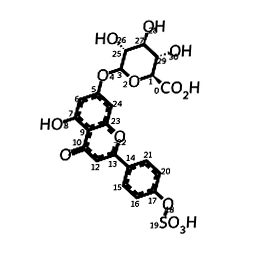 O=C(O)[C@H]1OC(Oc2cc(O)c3c(=O)cc(-c4ccc(OS(=O)(=O)O)cc4)oc3c2)[C@H](O)[C@@H](O)[C@@H]1O